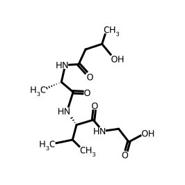 CC(O)CC(=O)N[C@@H](C)C(=O)N[C@H](C(=O)NCC(=O)O)C(C)C